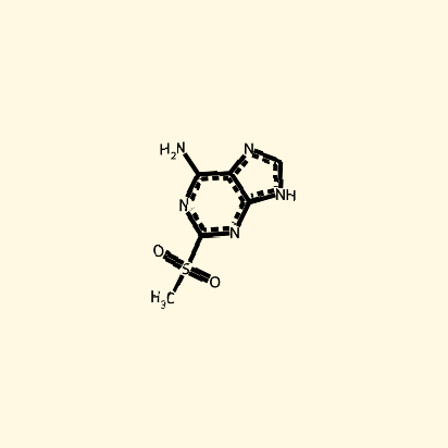 CS(=O)(=O)c1nc(N)c2nc[nH]c2n1